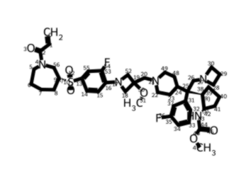 C=CC(=O)N1CCCC[C@@H](S(=O)(=O)c2ccc(N3CC(CN4CCC(C(CN5CCC5)(c5cccc(F)c5)[C@H]5CCC[C@@H]5NC(=O)OC)CC4)(OC)C3)c(F)c2)C1